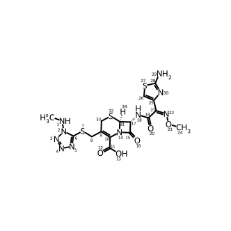 CNn1nnnc1SCC1=C(C(=O)O)N2C(=O)[C@@H](NC(=O)/C(=N\OC)c3csc(N)n3)[C@@H]2SC1